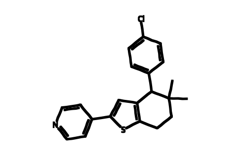 CC1(C)CCc2sc(-c3ccncc3)cc2C1c1ccc(Cl)cc1